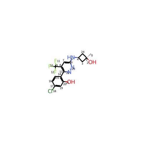 C[C@]1(O)C[C@@H](Nc2cc(C(F)(F)F)c(-c3ccc(Cl)cc3O)nn2)C1